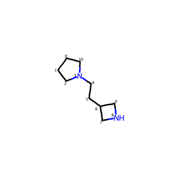 C1CCN(CCC2CNC2)C1